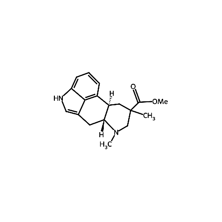 COC(=O)C1(C)C[C@@H]2c3cccc4[nH]cc(c34)C[C@H]2N(C)C1